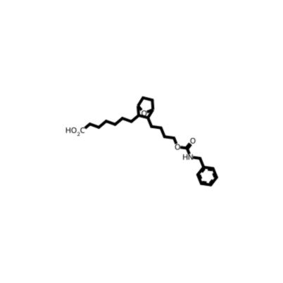 O=C(O)CCCCCCC1C2CCC(O2)C1CCCCOC(=O)NCc1ccccc1